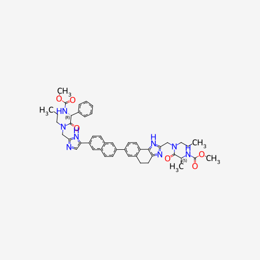 CCCN(Cc1nc2c([nH]1)-c1ccc(-c3ccc4cc(-c5cnc(CN(CCC)C(=O)[C@H](NC(=O)OC)c6ccccc6)[nH]5)ccc4c3)cc1CC2)C(=O)[C@H](C)NC(=O)OC